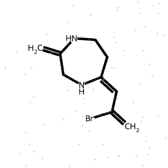 C=C(Br)/C=C1/CCNC(=C)CN1